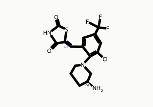 N[C@H]1CCCN(c2c(Cl)cc(C(F)(F)F)cc2/C=C2\SC(=O)NC2=O)C1